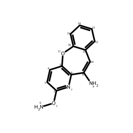 NOc1ccc2c(n1)C(N)=Cc1ccccc1O2